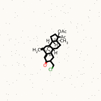 C=C1C[C@@H]2[C@H](CC[C@@]3(C)[C@H]2CC[C@]3(OC(C)=O)C(C)=O)[C@@]2(C)CC(CCl)C(=O)C=C12